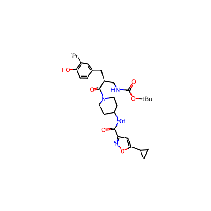 CC(C)c1cc(C[C@@H](CNC(=O)OC(C)(C)C)C(=O)N2CCC(NC(=O)c3cc(C4CC4)on3)CC2)ccc1O